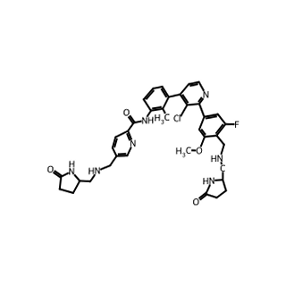 COc1cc(-c2nccc(-c3cccc(NC(=O)c4ccc(CNCC5CCC(=O)N5)cn4)c3C)c2Cl)cc(F)c1CNCC1CCC(=O)N1